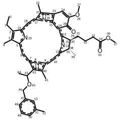 CCC1=C(C)c2cc3[nH]c(cc4nc(c5c6[nH]c(cc1n2)c(C)c6C=C(OC)C5=O)[C@@H](CCCC(=O)OC)[C@@H]4C)c(C)c3C(C)OCc1cccc(C)c1